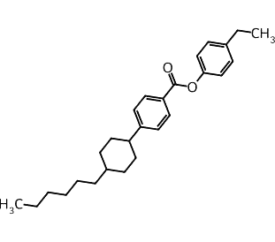 CCCCCCC1CCC(c2ccc(C(=O)Oc3ccc(CC)cc3)cc2)CC1